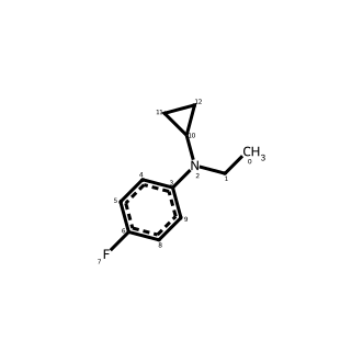 CCN(c1ccc(F)cc1)C1CC1